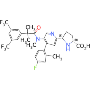 Cc1cc(F)ccc1-c1cc([C@@H]2CC[C@H](C(=O)O)N2)ncc1N(C)C(=O)C(C)(C)c1cc(C(F)(F)F)cc(C(F)(F)F)c1